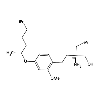 COc1cc(OC(C)CCCC(C)C)ccc1CC[C@@](N)(CO)CC(C)C